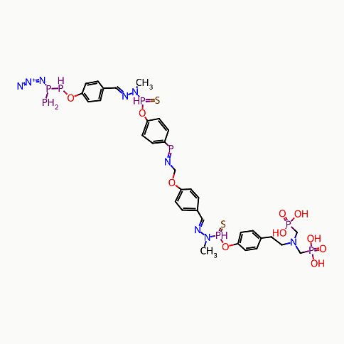 CN(N=Cc1ccc(OCN=Pc2ccc(O[PH](=S)N(C)N=Cc3ccc(OPP(P)N=[N+]=[N-])cc3)cc2)cc1)[PH](=S)Oc1ccc(CCN(CP(=O)(O)O)CP(=O)(O)O)cc1